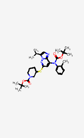 Cc1ccccc1N(C(=O)OC(C)(C)C)c1cc(SC2CCCN(C(=O)OC(C)(C)C)C2)nn2c(C(C)C)cnc12